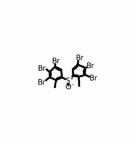 Cc1c([S+]([O-])c2cc(Br)c(Br)c(Br)c2C)cc(Br)c(Br)c1Br